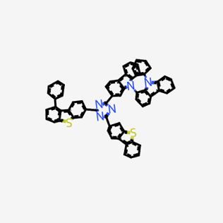 c1ccc(-c2cccc3sc4cc(-c5nc(-c6ccc7c(c6)sc6ccccc67)nc(-c6ccc7c8ccccc8n(-c8cccc9c%10ccccc%10n(-c%10ccccc%10)c89)c7c6)n5)ccc4c23)cc1